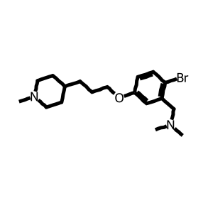 CN(C)Cc1cc(OCCCC2CCN(C)CC2)ccc1Br